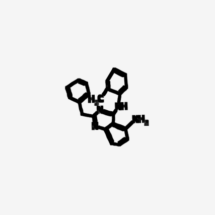 Cc1ccccc1Nc1nc(Cc2ccccc2)nc2cccc(N)c12